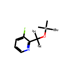 [2H]C([2H])(O[Si](C)(C)C(C)(C)C)c1ncccc1F